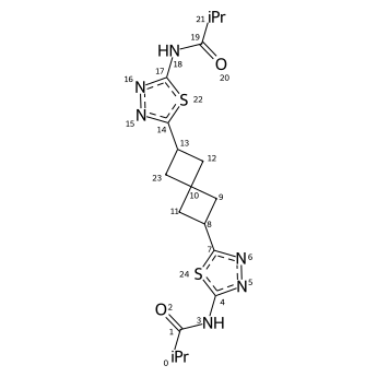 CC(C)C(=O)Nc1nnc(C2CC3(C2)CC(c2nnc(NC(=O)C(C)C)s2)C3)s1